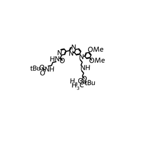 COc1cc(OC)cc(N(CCCNCCCO[Si](C)(C)C(C)(C)C)c2ccc3ncc(-c4ccnc(C(=O)NCCCCNC(=O)OC(C)(C)C)c4)nc3c2)c1